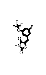 O=C1NC(=O)/C(=C\c2cc(F)cc(OC(F)(F)F)c2)S1